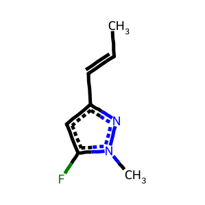 C/C=C/c1cc(F)n(C)n1